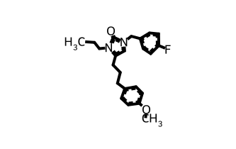 CCCn1c(CCCc2ccc(OC)cc2)cn(Cc2ccc(F)cc2)c1=O